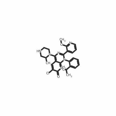 COc1ncccc1-c1nc(N2CCNCC2C)c2cc(Cl)c(=O)nc-2n1-c1ccccc1C(C)C